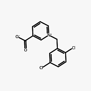 O=C([O-])c1ccc[n+](Cc2cc(Cl)ccc2Cl)c1